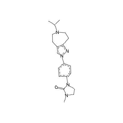 CC(C)N1CCc2cn(-c3ccc(N4CCN(C)C4=O)cc3)nc2CC1